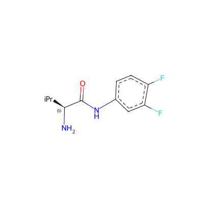 CC(C)[C@H](N)C(=O)Nc1ccc(F)c(F)c1